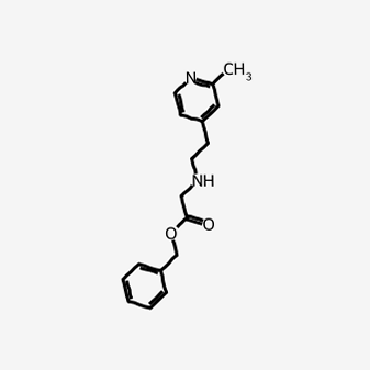 Cc1cc(CCNCC(=O)OCc2ccccc2)ccn1